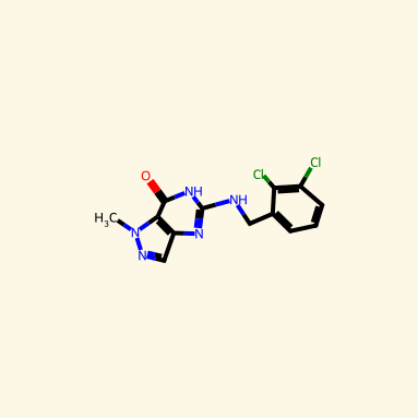 Cn1ncc2nc(NCc3cccc(Cl)c3Cl)[nH]c(=O)c21